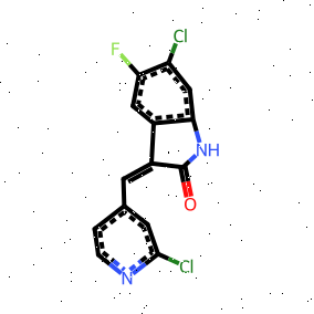 O=C1Nc2cc(Cl)c(F)cc2C1=Cc1ccnc(Cl)c1